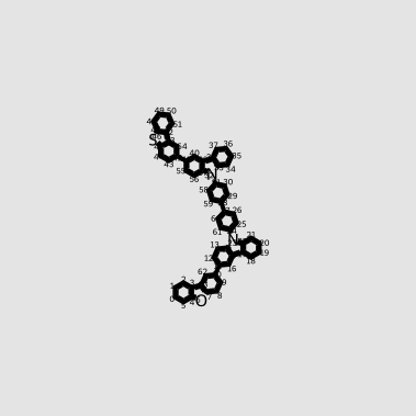 c1ccc2c(c1)oc1ccc(-c3ccc4c(c3)c3ccccc3n4-c3ccc(-c4ccc(-n5c6ccccc6c6cc(-c7ccc8sc9ccccc9c8c7)ccc65)cc4)cc3)cc12